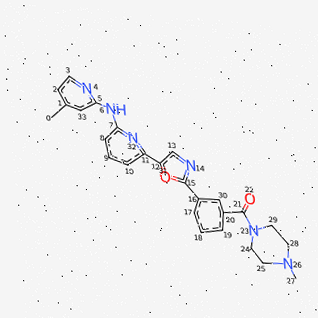 Cc1ccnc(Nc2cccc(-c3cnc(-c4cccc(C(=O)N5CCN(C)CC5)c4)o3)n2)c1